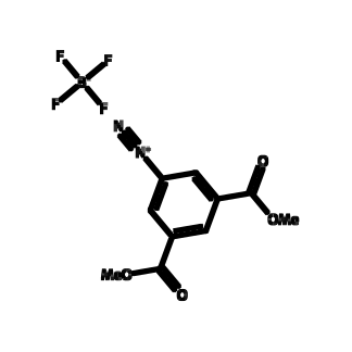 COC(=O)c1cc([N+]#N)cc(C(=O)OC)c1.F[B-](F)(F)F